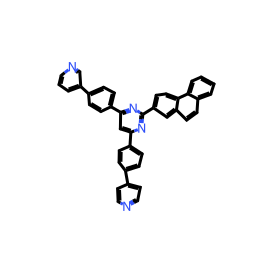 c1cncc(-c2ccc(-c3cc(-c4ccc(-c5ccncc5)cc4)nc(-c4ccc5c(ccc6ccccc65)c4)n3)cc2)c1